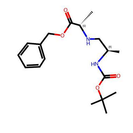 C[C@H](CN[C@@H](C)C(=O)OCc1ccccc1)NC(=O)OC(C)(C)C